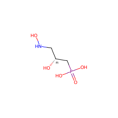 O=P(O)(O)C[C@H](O)CNO